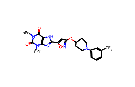 CCCn1c(=O)c2[nH]c(-c3cc(OC4CCN(c5cccc(C(F)(F)F)c5)CC4)no3)nc2n(CCC)c1=O